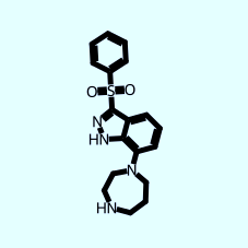 O=S(=O)(c1ccccc1)c1n[nH]c2c(N3CCCNCC3)cccc12